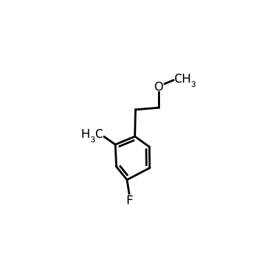 COCCc1ccc(F)cc1C